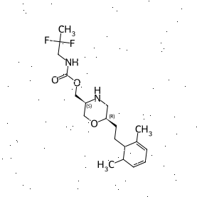 CC1=CC=CC(C)C1CC[C@@H]1CN[C@H](COC(=O)NCC(C)(F)F)CO1